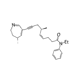 CCN(C(=O)CC/C=C\[C@H](C)CC#CC1=CC(C)CCN=C1)c1ccccc1